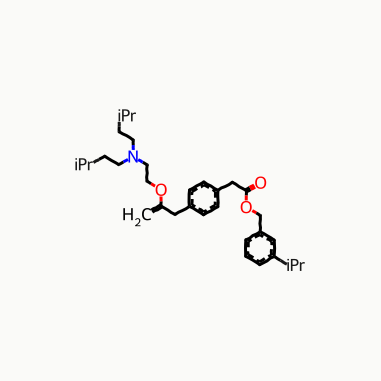 C=C(Cc1ccc(CC(=O)OCc2cccc(C(C)C)c2)cc1)OCCN(CCC(C)C)CCC(C)C